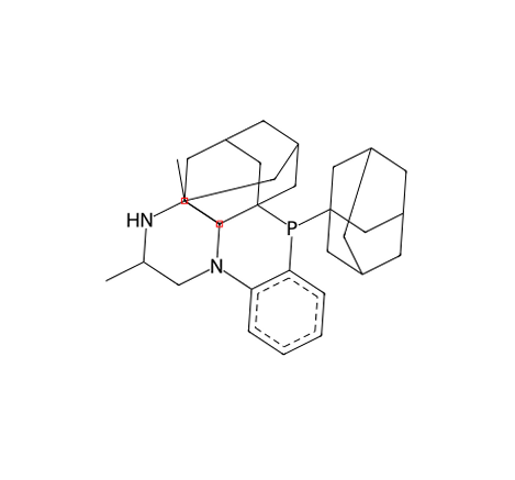 CC1CN(c2ccccc2P(C23CC4CC(CC(C4)C2)C3)C23CC4CC(CC(C4)C2)C3)CC(C)N1